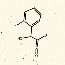 Cc1ccccc1C(O)C(Br)=C=O